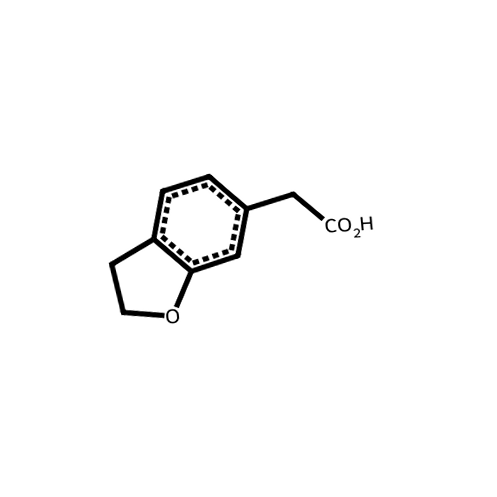 O=C(O)Cc1ccc2c(c1)OCC2